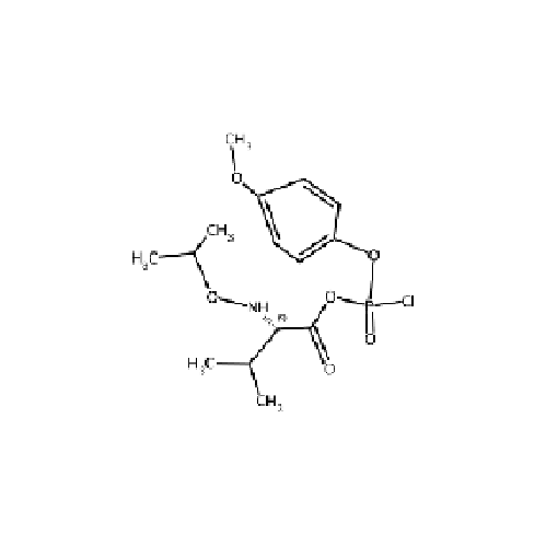 COc1ccc(OP(=O)(Cl)OC(=O)[C@@H](NOC(C)C)C(C)C)cc1